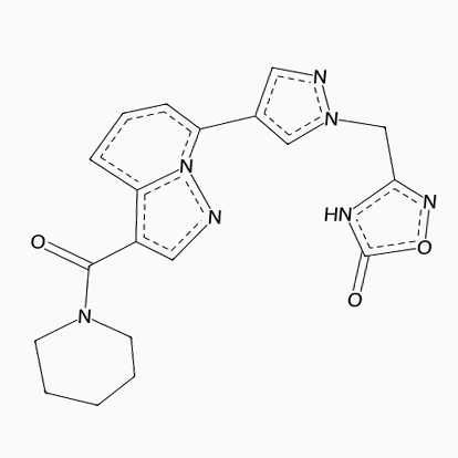 O=C(c1cnn2c(-c3cnn(Cc4noc(=O)[nH]4)c3)cccc12)N1CCCCC1